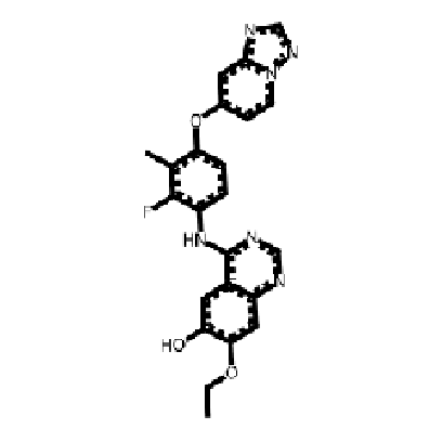 CCOc1cc2ncnc(Nc3ccc(Oc4ccn5ncnc5c4)c(C)c3F)c2cc1O